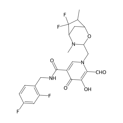 CC1C2CC(N(C)C(Cn3cc(C(=O)NCc4ccc(F)cc4F)c(=O)c(O)c3C=O)O2)C1(F)F